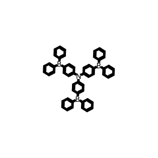 c1ccc(B(c2ccccc2)c2ccc(N(c3ccc(B(c4ccccc4)c4ccccc4)cc3)c3ccc(B(c4ccccc4)c4ccccc4)cc3)cc2)cc1